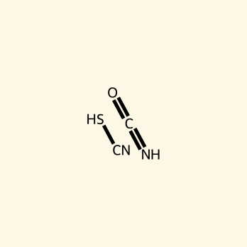 N#CS.N=C=O